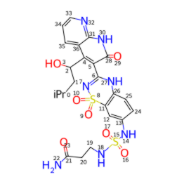 CC(C)CC(O)c1c(C2=NS(=O)(=O)c3cc(NS(=O)(=O)NCCC(N)=O)ccc3N2)c(=O)[nH]c2ncccc12